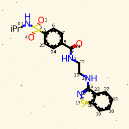 CC(C)NS(=O)(=O)c1ccc(C(=O)NCCNc2nsc3ccccc23)cc1